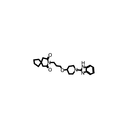 O=C1CC2(CCCC2)CC(=O)N1CCCOC1CCN(c2nc3ccccc3[nH]2)CC1